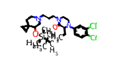 CCC1C(=O)N(CCCN2CCC3(CC3)C(O[Si](C)(C)C(C)(C)C)C2)CCN1c1ccc(Cl)c(Cl)c1